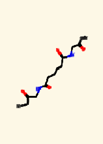 CSC(=O)CNC(=O)CCCCC(=O)NCC(=O)CC(C)C